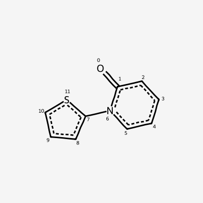 O=c1ccccn1-c1cccs1